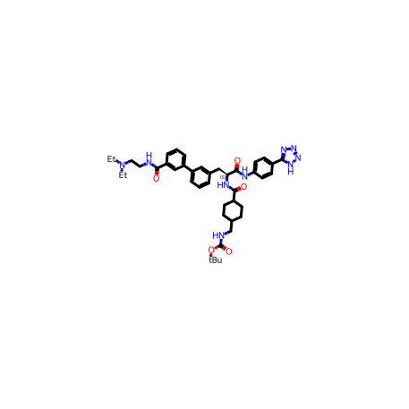 CCN(CC)CCNC(=O)c1cccc(-c2cccc(C[C@H](NC(=O)C3CCC(CNC(=O)OC(C)(C)C)CC3)C(=O)Nc3ccc(-c4nnn[nH]4)cc3)c2)c1